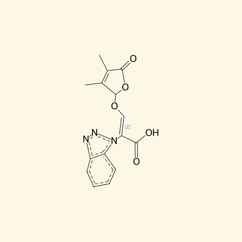 CC1=C(C)C(O/C=C(/C(=O)O)n2nnc3ccccc32)OC1=O